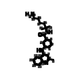 Cc1cc(Nc2cccc(C(=O)NC(C)(C)CCCCN)c2)c2ccccc2n1